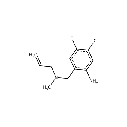 C=CCN(C)Cc1cc(F)c(Cl)cc1N